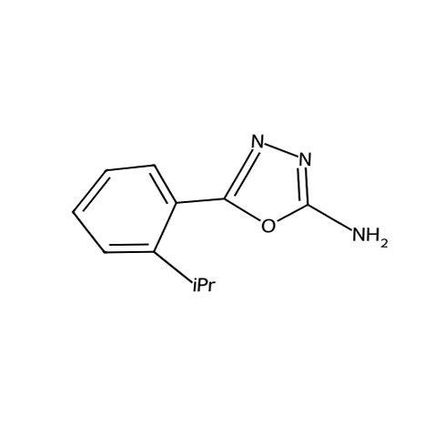 CC(C)c1ccccc1-c1nnc(N)o1